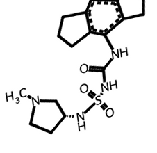 CN1CC[C@@H](NS(=O)(=O)NC(=O)Nc2c3c(cc4c2CCC4)CCC3)C1